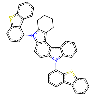 c1ccc2c(c1)sc1c(-n3c4ccccc4c4c5c6c(n(-c7cccc8sc9ccccc9c78)c5ccc43)CCCC6)cccc12